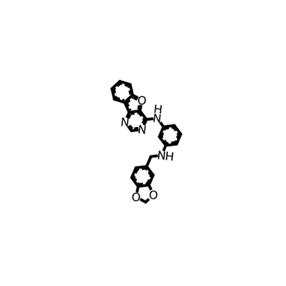 c1cc(NCc2ccc3c(c2)OCO3)cc(Nc2ncnc3c2oc2ccccc23)c1